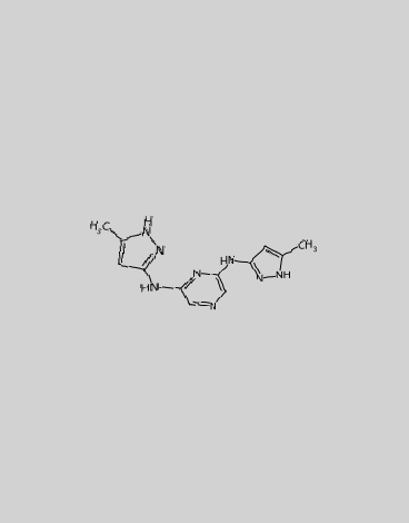 Cc1cc(Nc2cncc(Nc3cc(C)[nH]n3)n2)n[nH]1